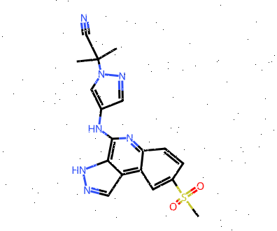 CC(C)(C#N)n1cc(Nc2nc3ccc(S(C)(=O)=O)cc3c3cn[nH]c23)cn1